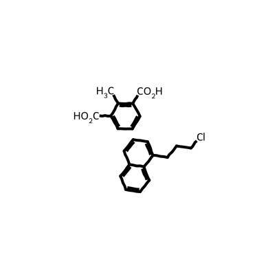 Cc1c(C(=O)O)cccc1C(=O)O.ClCCCc1cccc2ccccc12